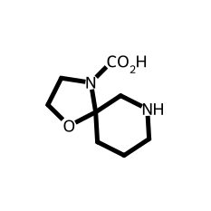 O=C(O)N1CCOC12CCCNC2